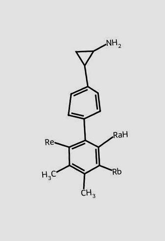 Cc1c(C)[c]([Re])c(-c2ccc(C3CC3N)cc2)[c]([RaH])[c]1[Rb]